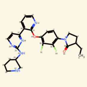 CCC1CCN(c2ccc(Oc3ncccc3-c3ccnc(NC4CCCNC4)n3)c(F)c2F)C1=O